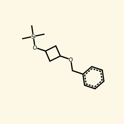 C[Si](C)(C)OC1CC(OCc2ccccc2)C1